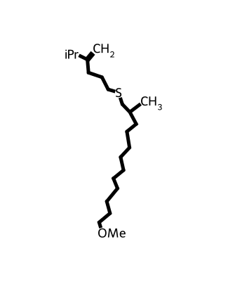 C=C(CCCSCC(C)CCCCCCCCCCOC)C(C)C